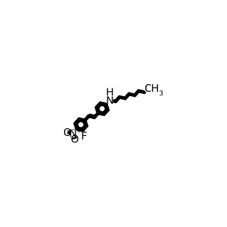 CCCCCCCCNc1ccc(C=Cc2ccc([N+](=O)[O-])c(F)c2)cc1